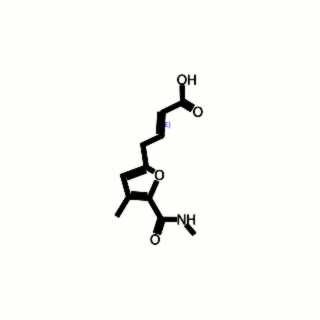 CNC(=O)c1oc(C/C=C/C(=O)O)cc1C